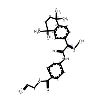 C=CCOC(=O)c1ccc(NC(=O)/C(=N/O)c2ccc3c(c2)C(C)(C)CCC3(C)C)cc1